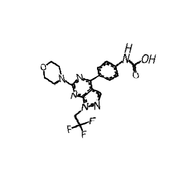 O=C(O)Nc1ccc(-c2nc(N3CCOCC3)nc3c2cnn3CC(F)(F)F)cc1